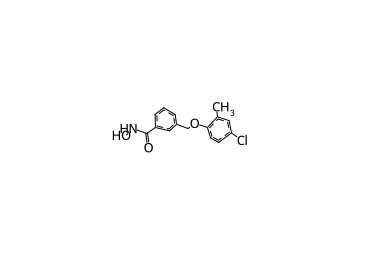 Cc1cc(Cl)ccc1OCc1cccc(C(=O)NO)c1